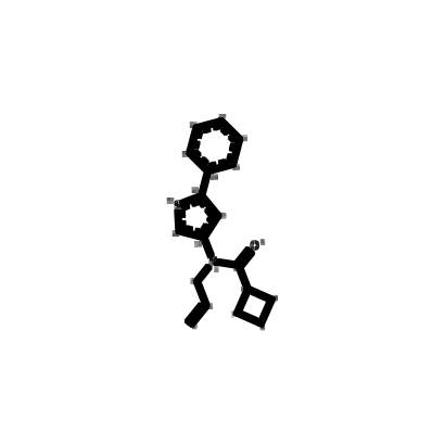 C=CCN(C(=O)C1CCC1)c1csc(-c2ccccc2)c1